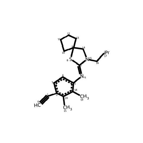 C#Cc1ccc(/N=C2\SC3(CCCC3)CN2CC(C)C)c(C)c1C